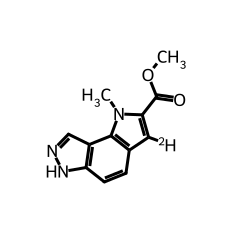 [2H]c1c(C(=O)OC)n(C)c2c1ccc1[nH]ncc12